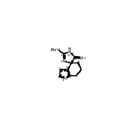 CNC1=NC2(CCCc3sccc32)C(=O)N1